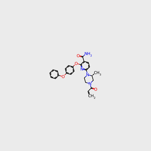 C=CC(=O)N1CCN(c2ccc(C(N)=O)c(Oc3ccc(Oc4ccccc4)cc3)n2)[C@@H](C)C1